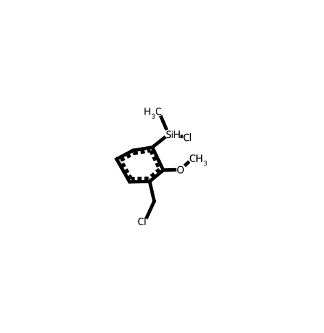 COc1c(CCl)cccc1[SiH](C)Cl